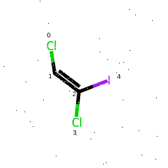 ClC=C(Cl)I